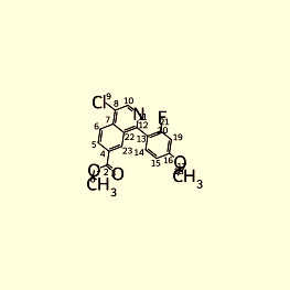 COC(=O)c1ccc2c(Cl)cnc(-c3ccc(OC)cc3F)c2c1